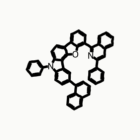 c1ccc(-c2cc3ccccc3c(-c3cccc4c3oc3c4ccc4c3c3cc(-c5cccc6ccccc56)ccc3n4-c3ccccc3)n2)cc1